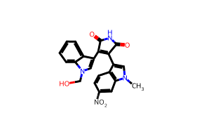 Cn1cc(C2=C(c3cn(CO)c4ccccc34)C(=O)NC2=O)c2ccc([N+](=O)[O-])cc21